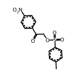 Cc1ccc(S(=O)(=O)OCC(=O)c2ccc([N+](=O)[O-])cc2)cc1